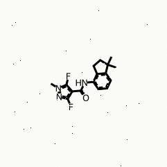 Cn1nc(F)c(C(=O)Nc2cccc3c2CCC3(C)C)c1F